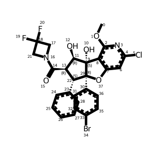 COc1nc(Cl)cc2c1[C@]1(O)[C@H](O)[C@H](C(=O)N3CC(F)(F)C3)[C@@H](c3ccccc3)[C@]1(c1ccc(Br)cc1)O2